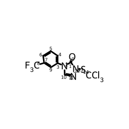 O=c1n(-c2cccc(C(F)(F)F)c2)cnn1SC(Cl)(Cl)Cl